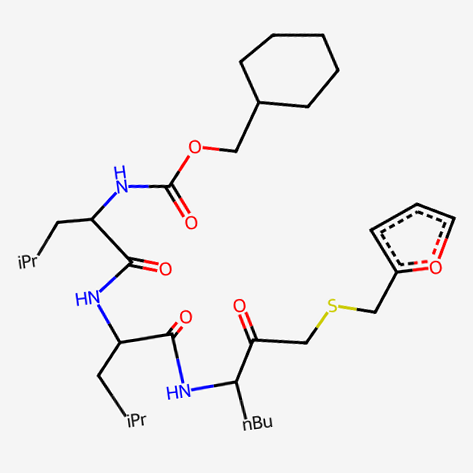 CCCCC(NC(=O)C(CC(C)C)NC(=O)C(CC(C)C)NC(=O)OCC1CCCCC1)C(=O)CSCc1ccco1